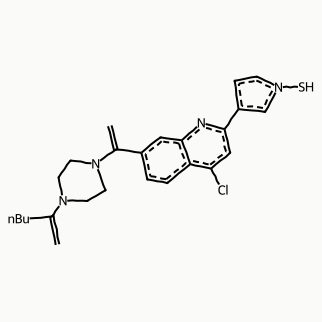 C=C(CCCC)N1CCN(C(=C)c2ccc3c(Cl)cc(-c4ccn(S)c4)nc3c2)CC1